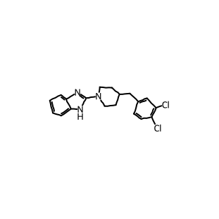 Clc1ccc(CC2CCN(c3nc4ccccc4[nH]3)CC2)cc1Cl